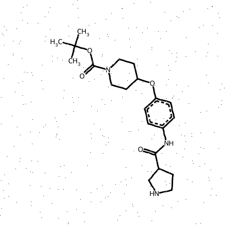 CC(C)(C)OC(=O)N1CCC(Oc2ccc(NC(=O)C3CCNC3)cc2)CC1